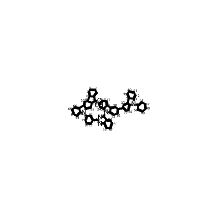 CC1(C)c2ccccc2C2C=c3c(n(-c4cccc(-c5nc(-n6c7ccccc7c7cc(-c8ccc9c(c8)c8ccccc8n9-c8ccccc8)ccc76)c6ccccc6n5)c4)c4ccccc34)=CC21